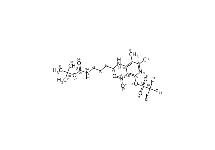 Cc1c(Cl)nc(OS(=O)(=O)C(F)(F)F)c([N+](=O)[O-])c1NCCCCNC(=O)OC(C)(C)C